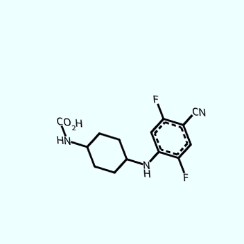 N#Cc1cc(F)c(NC2CCC(NC(=O)O)CC2)cc1F